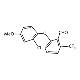 COc1ccc(Oc2cccc(C(F)(F)F)c2C=O)c(Cl)c1